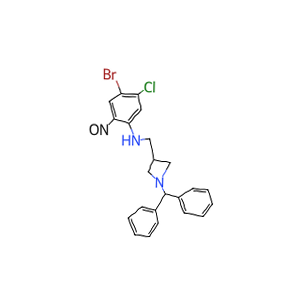 O=Nc1cc(Br)c(Cl)cc1NCC1CN(C(c2ccccc2)c2ccccc2)C1